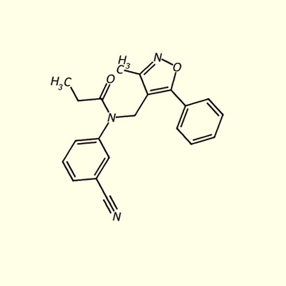 CCC(=O)N(Cc1c(C)noc1-c1ccccc1)c1cccc(C#N)c1